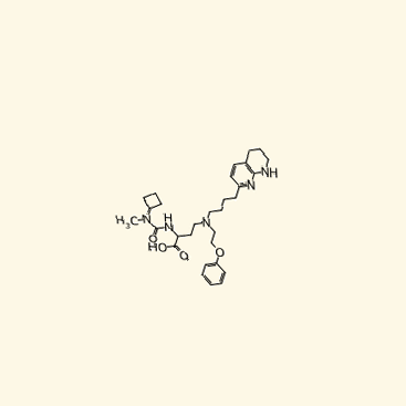 CN(C(=O)NC(CCN(CCCCc1ccc2c(n1)NCCC2)CCOc1ccccc1)C(=O)O)C1CCC1